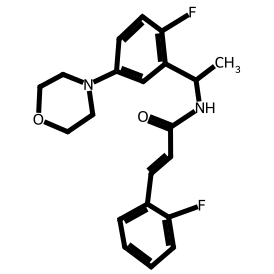 CC(NC(=O)C=Cc1ccccc1F)c1cc(N2CCOCC2)ccc1F